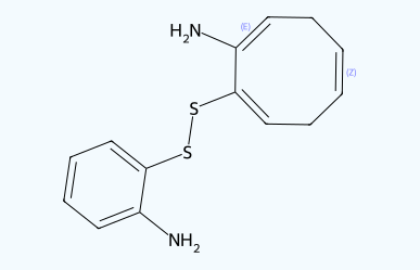 N/C1=C/C/C=C\CC=C1SSc1ccccc1N